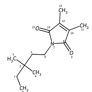 CCC(C)(C)CCN1C(=O)C(C)=C(C)C1=O